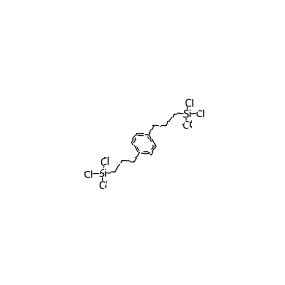 Cl[Si](Cl)(Cl)CCCc1ccc(CCC[Si](Cl)(Cl)Cl)cc1